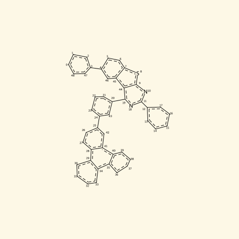 c1ccc(-c2ccc3sc4nc(-c5ccccc5)nc(-c5cccc(-c6ccc7c8ccccc8c8ccccc8c7c6)c5)c4c3c2)cc1